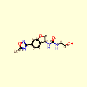 CCc1nc(-c2ccc3c(c2)OCC3NC(=O)NCCO)no1